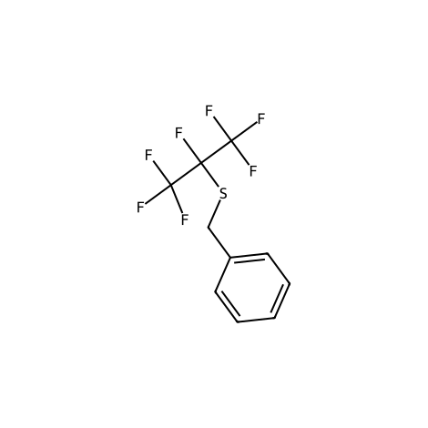 FC(F)(F)C(F)(SCc1ccccc1)C(F)(F)F